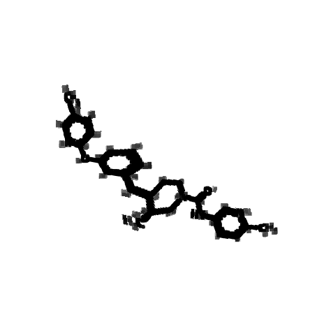 Cc1ccc(NC(=O)N2CC/C(=C\c3cccc(Oc4ccc(C(F)(F)F)cn4)c3)C(C)C2)cn1